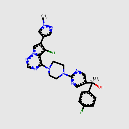 Cn1cc(-c2cn3ncnc(N4CCN(c5ncc([C@@](C)(O)c6ccc(F)cc6)cn5)CC4)c3c2Cl)cn1